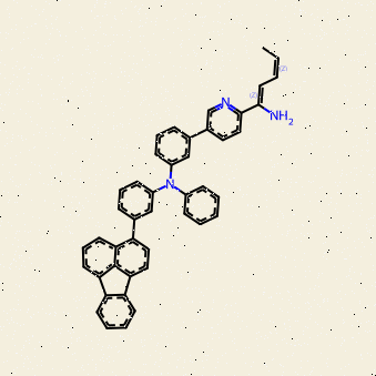 C/C=C\C=C(/N)c1ccc(-c2cccc(N(c3ccccc3)c3cccc(-c4ccc5c6c(cccc46)-c4ccccc4-5)c3)c2)cn1